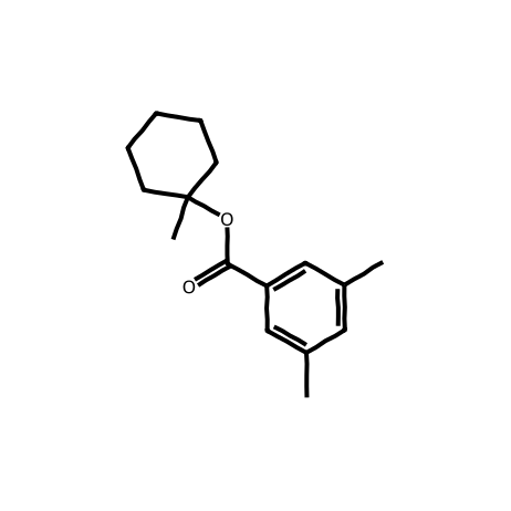 Cc1cc(C)cc(C(=O)OC2(C)CCCCC2)c1